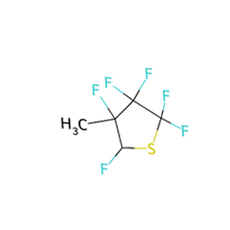 CC1(F)C(F)SC(F)(F)C1(F)F